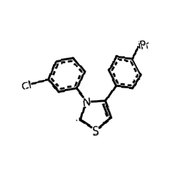 CC(C)c1ccc(C2=CS[CH]N2c2cccc(Cl)c2)cc1